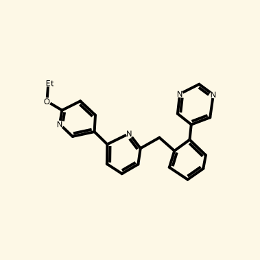 CCOc1ccc(-c2cccc(Cc3ccccc3-c3cncnc3)n2)cn1